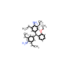 CCOc1ccccc1C(c1cc(CC)c(N)c(CC)c1)c1cc(CC)c(N)c(CC)c1